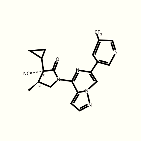 C[C@@H]1CN(c2nc(-c3cncc(C(F)(F)F)c3)cn3nccc23)C(=O)[C@]1(C#N)C1CC1